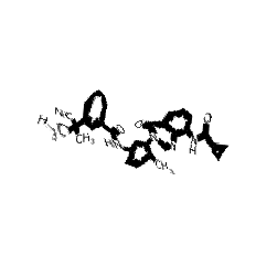 Cc1ccc(NC(=O)c2cccc(C(C)(C)C#N)c2)cc1-n1cnc2c(NC(=O)C3CC3)cccc2c1=O